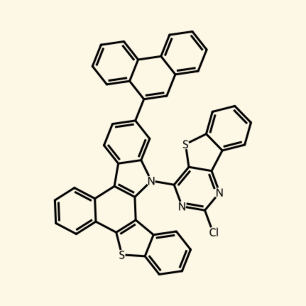 Clc1nc(-n2c3cc(-c4cc5ccccc5c5ccccc45)ccc3c3c4ccccc4c4sc5ccccc5c4c32)c2sc3ccccc3c2n1